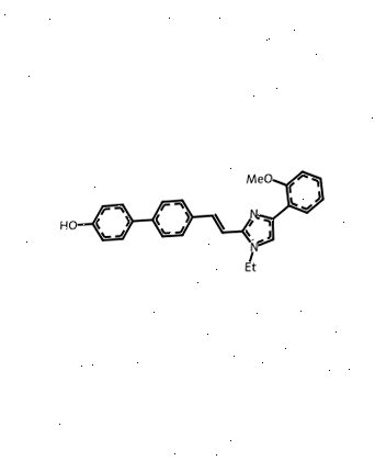 CCn1cc(-c2ccccc2OC)nc1C=Cc1ccc(-c2ccc(O)cc2)cc1